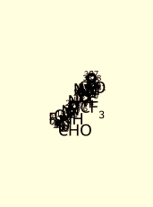 CC(c1c(F)c(C(F)(F)F)c(-c2cn3cc(NC(=O)[C@@]4(OC=O)C[C@@H]4F)nc3cn2)c2cn[nH]c12)N1C(=O)c2ccccc2C1=O